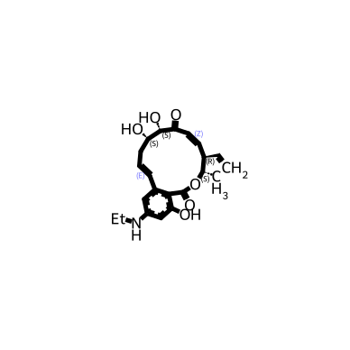 C=C[C@@H]1/C=C\C(=O)[C@@H](O)[C@@H](O)C/C=C/c2cc(NCC)cc(O)c2C(=O)O[C@H]1C